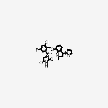 Cc1cc(-n2cccn2)c2cccc(OCc3c(Cl)cc(F)cc3[C@H](C)N3CC(=O)NC3=O)c2n1